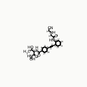 C[C@@H](O)[C@H](NC(=O)c1ccc(C#Cc2ccccc2NC(=O)CNCC#N)cc1)C(=O)NO